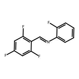 Fc1cc(F)c(C=Nc2ccccc2F)c(F)c1